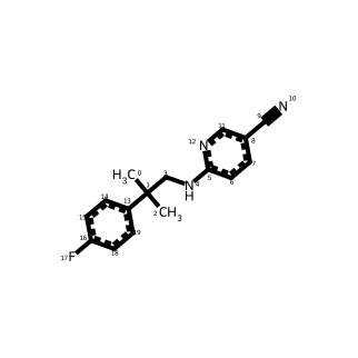 CC(C)(CNc1ccc(C#N)cn1)c1ccc(F)cc1